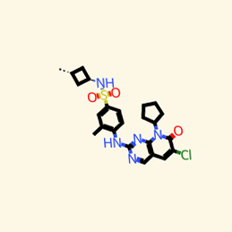 Cc1cc(S(=O)(=O)N[C@H]2C[C@@H](C)C2)ccc1Nc1ncc2cc(Cl)c(=O)n(C3CCCC3)c2n1